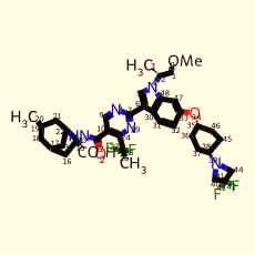 COC[C@@H](C)n1cc(-c2ncc(C(=O)NC3(C(=O)O)CC4CC(C)CC3C4)c(C(C)(F)F)n2)c2ccc(O[C@H]3CC[C@H](N4CC(F)(F)C4)CC3)cc21